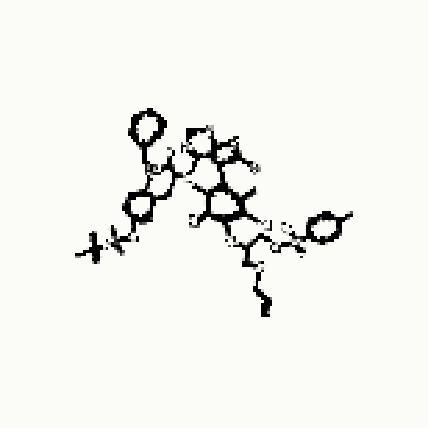 C=CCOCC(COS(=O)(=O)c1ccc(C)cc1)Oc1c(Cl)c(C)c(-c2c(Br)sc3ncnc(OC(Cc4cc(O[Si](C)(C)C(C)(C)C)ccc4OCc4ccccc4)C(=O)O)c23)c(C)c1Cl